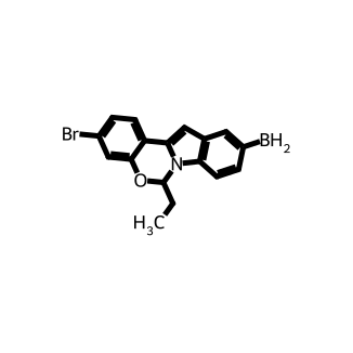 Bc1ccc2c(c1)cc1n2C(CC)Oc2cc(Br)ccc2-1